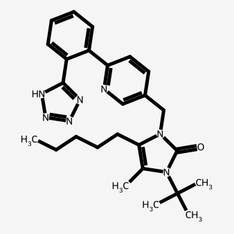 CCCCCc1c(C)n(C(C)(C)C)c(=O)n1Cc1ccc(-c2ccccc2-c2nnn[nH]2)nc1